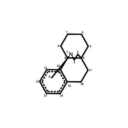 CN1CCC23CCCCC12c1ccccc1CC3